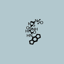 CS(C)(=O)=Nc1cnc(S(=N)(=O)NC(=O)Nc2c3c(cc4c2CCC4)CCC3)s1